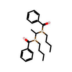 CCCC[S+](C(=O)c1ccccc1)C(C)[S+](CCCC)C(=O)c1ccccc1